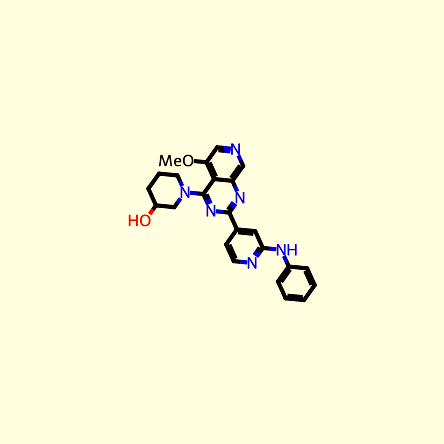 COc1cncc2nc(-c3ccnc(Nc4ccccc4)c3)nc(N3CCCC(O)C3)c12